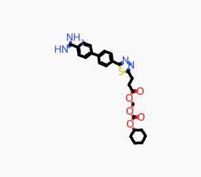 N=C(N)c1ccc(-c2ccc(-c3nnc(CCC(=O)OCOC(=O)OC4CCCCC4)s3)cc2)cc1